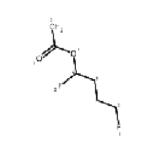 CC(=O)OC(F)CCCF